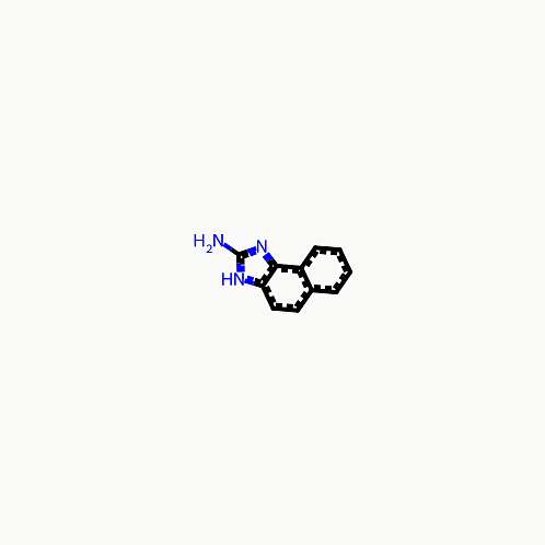 Nc1nc2c(ccc3ccccc32)[nH]1